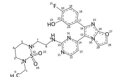 CCN1CCCN(CCNc2nccc(-c3c(-c4ccc(F)c(O)c4)nc4occn34)n2)S1(=O)=O